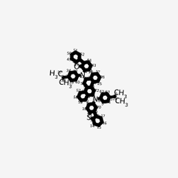 CC(C)c1ccc(N(c2ccc3sc4ccccc4c3c2)c2cc3c4ccccc4c(N(c4ccc(C(C)C)cc4)c4cccc5c4oc4ccccc45)cc3c3ccccc23)cc1